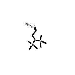 CCCCCCCCCN([Si](C)(C)C)[Si](C)(C)C